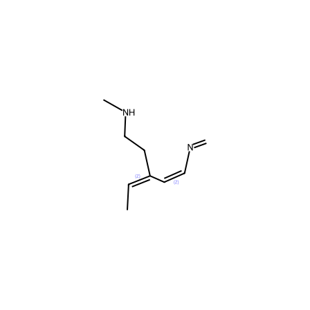 C=N/C=C\C(=C/C)CCNC